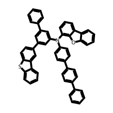 c1ccc(-c2ccc(-c3ccc(N(c4cc(-c5ccccc5)cc(-c5ccc6sc7ccccc7c6c5)c4)c4cccc5c4oc4ccccc45)cc3)cc2)cc1